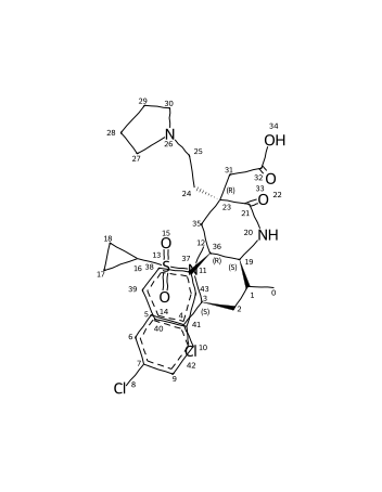 CC(C[C@@H](c1ccc(Cl)cc1)N(C)S(=O)(=O)C1CC1)[C@@H]1NC(=O)[C@](CCN2CCCC2)(CC(=O)O)C[C@@H]1c1cccc(Cl)c1